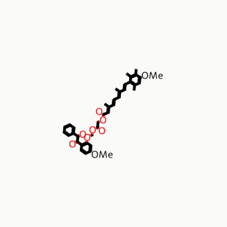 COc1ccc(C(=O)C(=O)c2ccccc2)c(OCOC(=O)COC(=O)/C=C(C)/C=C/C=C(C)/C=C/c2c(C)cc(OC)c(C)c2C)c1